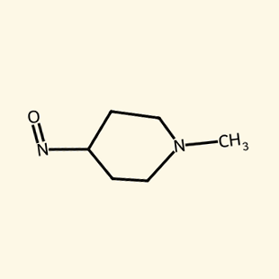 CN1CCC(N=O)CC1